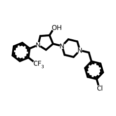 OC1CN(c2ccccc2C(F)(F)F)CC1N1CCN(Cc2ccc(Cl)cc2)CC1